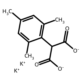 Cc1cc(C)c(C(C(=O)[O-])C(=O)[O-])c(C)c1.[K+].[K+]